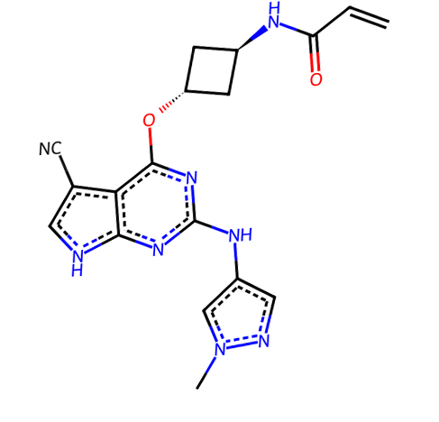 C=CC(=O)N[C@H]1C[C@H](Oc2nc(Nc3cnn(C)c3)nc3[nH]cc(C#N)c23)C1